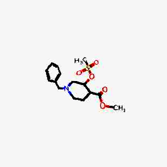 COC(=O)C1CCN(Cc2ccccc2)CC1OS(C)(=O)=O